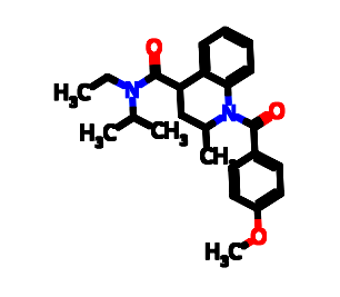 CCN(C(=O)C1CC(C)N(C(=O)c2ccc(OC)cc2)c2ccccc21)C(C)C